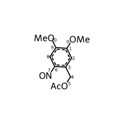 COc1cc(COC(C)=O)c(N=O)cc1OC